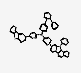 c1ccc(-c2ccccc2-c2ccc(N(c3ccc(-c4ccc5oc6ccccc6c5c4)cc3)c3ccc(-c4ccc5c6ccc7ccccc7c6n(-c6ccccc6)c5c4)cc3)cc2)cc1